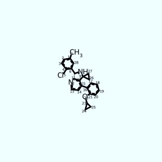 Cc1ccc(Cl)c(CNC2(c3cnccc3-c3ccccc3OC3CC3)CC2)c1